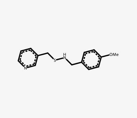 COc1ccc(CNSCc2cccnc2)cc1